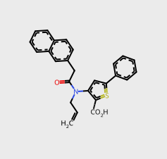 C=CCN(C(=O)Cc1ccc2ccccc2c1)c1cc(-c2ccccc2)sc1C(=O)O